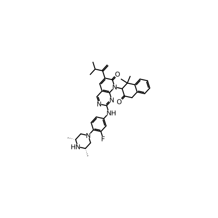 C=C(c1cc2cnc(Nc3ccc(N4C[C@@H](C)N[C@@H](C)C4)c(F)c3)nc2n(C2C(=O)Cc3ccccc3C2(C)C)c1=O)C(C)C